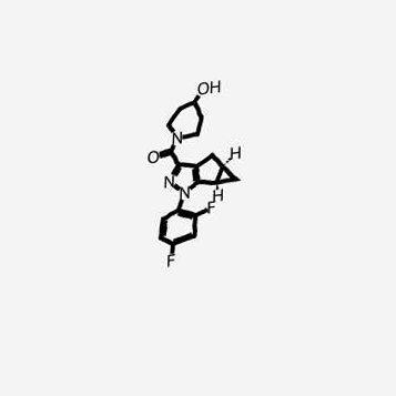 O=C(c1nn(-c2ccc(F)cc2F)c2c1C[C@H]1C[C@@H]21)N1CCC(O)CC1